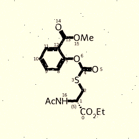 CCOC(=O)[C@@H](CSC(=O)Oc1ccccc1C(=O)OC)NC(C)=O